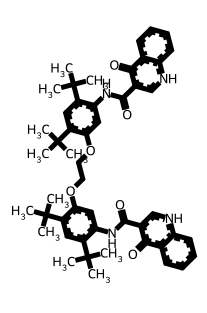 CC(C)(C)c1cc(C(C)(C)C)c(OCCOc2cc(NC(=O)c3c[nH]c4ccccc4c3=O)c(C(C)(C)C)cc2C(C)(C)C)cc1NC(=O)c1c[nH]c2ccccc2c1=O